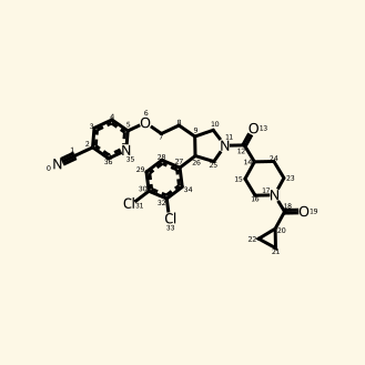 N#Cc1ccc(OCCC2CN(C(=O)C3CCN(C(=O)C4CC4)CC3)CC2c2ccc(Cl)c(Cl)c2)nc1